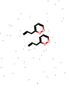 C=CCC1=CC=COO1.C=CCC1=CC=COO1